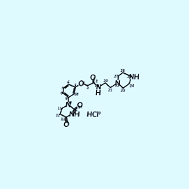 Cl.O=C(COc1cccc(N2CCC(=O)NC2=O)c1)NCCN1CCNCC1